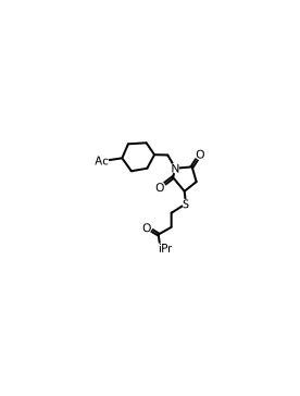 CC(=O)C1CCC(CN2C(=O)CC(SCCC(=O)C(C)C)C2=O)CC1